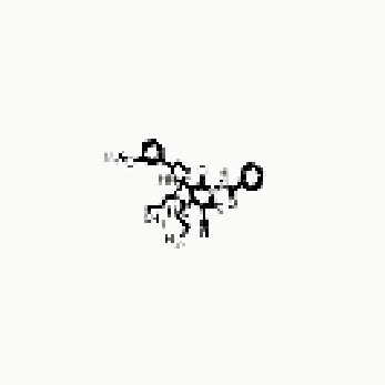 CCCCN(CCCC)C1(c2c(C)c(C#N)c(=O)n(NC(=O)c3ccccc3)c2O)NC(c2cccc(OC)c2)CS1